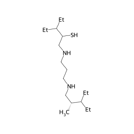 CCC(CC)C(S)CNCCCNC[C@@H](C)C(CC)CC